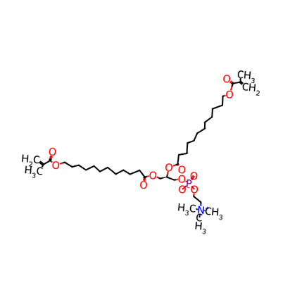 C=C(C)C(=O)OCCCCCCCCCCCC(=O)OC[C@H](COP(=O)([O-])OCC[N+](C)(C)C)OC(=O)CCCCCCCCCCCOC(=O)C(=C)C